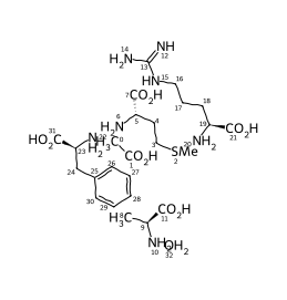 CC(=O)O.CSCC[C@H](N)C(=O)O.C[C@H](N)C(=O)O.N=C(N)NCCC[C@H](N)C(=O)O.N[C@@H](Cc1ccccc1)C(=O)O.O